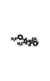 Cc1cccc(-c2sc(NC(=O)c3ccncc3C)nc2C)c1